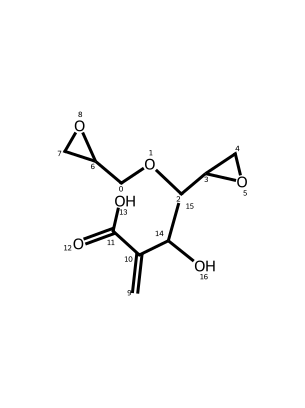 C(OCC1CO1)C1CO1.C=C(C(=O)O)C(C)O